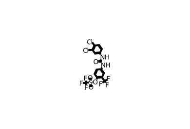 O=C(Nc1ccc(Cl)c(Cl)c1)Nc1ccc(OS(=O)(=O)C(F)(F)F)c(C(F)(F)F)c1